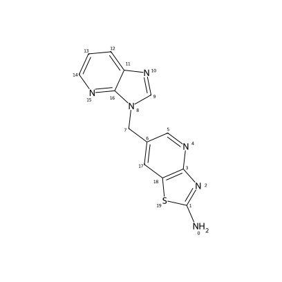 Nc1nc2ncc(Cn3cnc4cccnc43)cc2s1